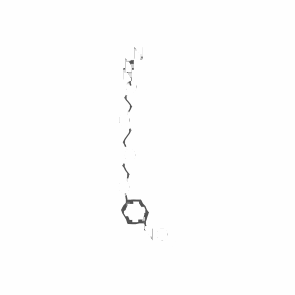 [N-]=[N+]=NOCCOCCOCCOc1ccc([N+](=O)[O-])cc1